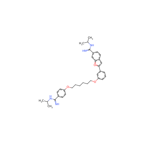 CC(C)NC(=N)c1ccc(OCCCCCCOc2cccc(-c3cc4ccc(C(=N)NC(C)C)cc4o3)c2)cc1